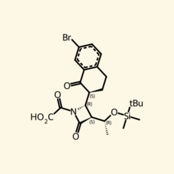 C[C@@H](O[Si](C)(C)C(C)(C)C)[C@H]1C(=O)N(C(=O)C(=O)O)[C@@H]1[C@@H]1CCc2ccc(Br)cc2C1=O